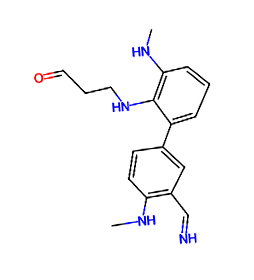 CNc1ccc(-c2cccc(NC)c2NCCC=O)cc1C=N